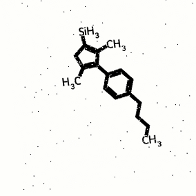 CCCCc1ccc(C2=C(C)CC([SiH3])=C2C)cc1